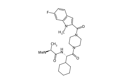 CN[C@@H](C)C(=O)N[C@H](C(=O)N1CCN(C(=O)c2cc3ccc(F)cc3n2C)CC1)C1CCCCC1